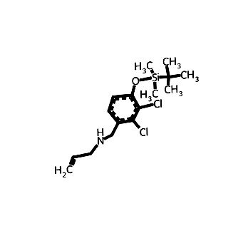 C=CCNCc1ccc(O[Si](C)(C)C(C)(C)C)c(Cl)c1Cl